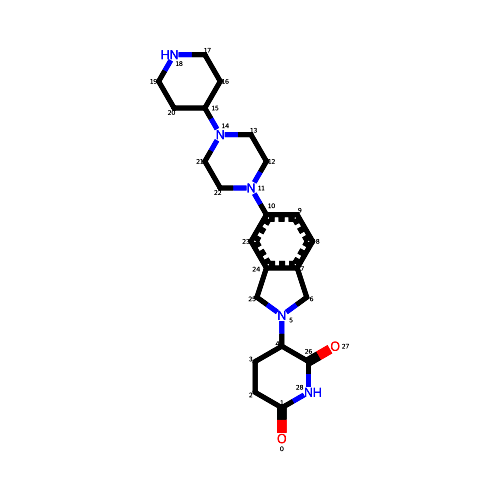 O=C1CCC(N2Cc3ccc(N4CCN(C5CCNCC5)CC4)cc3C2)C(=O)N1